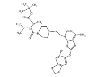 CC(C)[C@@H](C(=O)N1CCC(CCn2cnc(N)c3nc(Sc4cc5c(cc4Br)OCO5)nc2-3)CC1)N(C)C(=O)OC(C)(C)C